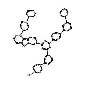 N#Cc1ccc(-c2cccc(-c3nc(-c4ccc(-c5cccc(-c6ccccc6)c5)cc4)nc(-c4ccc5c(c4)oc4cccc(-c6ccc(-c7ccccc7)cc6)c45)n3)c2)cc1